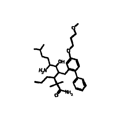 CCCC(C(Cc1cc(OCCCOC)ccc1-c1ccccc1)C(O)C(N)CCC(C)C)C(C)(C)C(N)=O